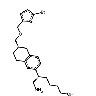 CCc1ccc(COC[C@@H]2CCc3cc([C@H](CN)CCCCO)ccc3C2)s1